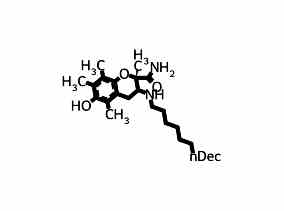 CCCCCCCCCCCCCCCCNC1Cc2c(C)c(O)c(C)c(C)c2O[C@@]1(C)C(N)=O